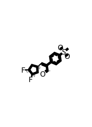 CS(=O)(=O)c1ccc(C([C]=O)=C[C@H]2C[C@@H](F)[C@@H](F)C2)cc1